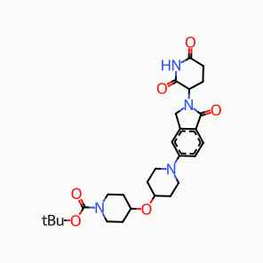 CC(C)(C)OC(=O)N1CCC(OC2CCN(c3ccc4c(c3)CN(C3CCC(=O)NC3=O)C4=O)CC2)CC1